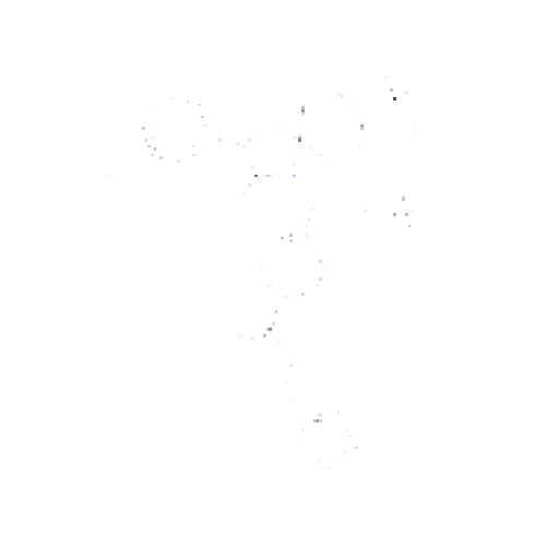 COC1=CCCC(C2=NC3(CCC(C(C)(C)C)CC3)N([C@H](CCC(C)(C)C)c3ccc(C(=O)NCc4nn[nH]n4)cc3)C2=O)=C1